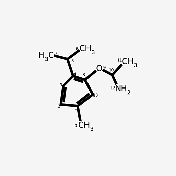 Cc1ccc(C(C)C)c(OC(C)N)c1